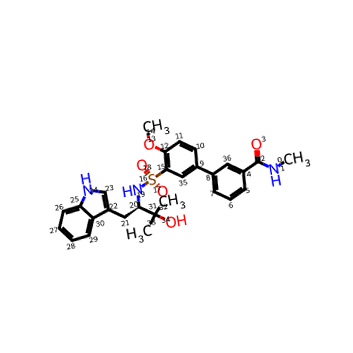 CNC(=O)c1cccc(-c2ccc(OC)c(S(=O)(=O)N[C@H](Cc3c[nH]c4ccccc34)C(C)(C)O)c2)c1